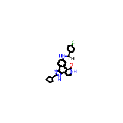 CC(Nc1ccc2c(c1)c1c(=O)[nH]ccc1c1[nH]c(C3CCCC3)nc21)c1ccc(Cl)cc1